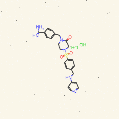 Cl.Cl.N=C(N)c1ccc(CN2CCN(S(=O)(=O)c3ccc(CNc4ccncc4)cc3)CC2=O)cc1